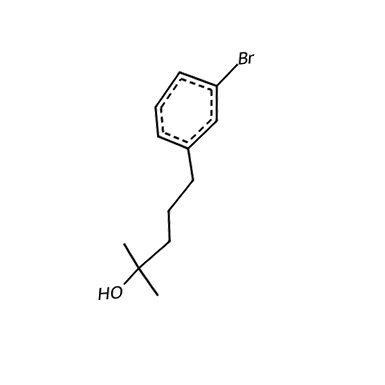 CC(C)(O)CCCc1cccc(Br)c1